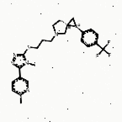 Cc1ccc(-c2nnc(SCCCN3CC[C@@]4(C[C@H]4c4ccc(C(F)(F)F)cc4)C3)n2C)cn1